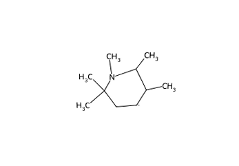 CC1[CH]CC(C)(C)N(C)C1C